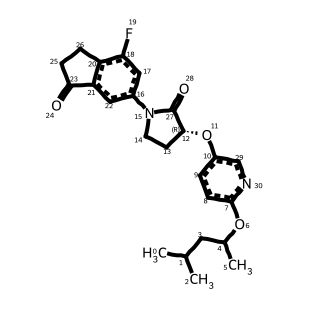 CC(C)CC(C)Oc1ccc(O[C@@H]2CCN(c3cc(F)c4c(c3)C(=O)CC4)C2=O)cn1